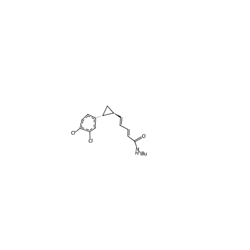 CCC(C)NC(=O)C=CC=C[C@@H]1C[C@H]1c1ccc(Cl)c(Cl)c1